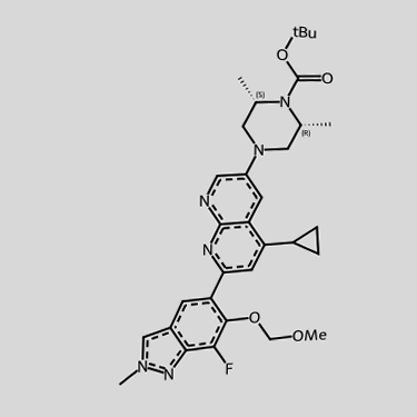 COCOc1c(-c2cc(C3CC3)c3cc(N4C[C@@H](C)N(C(=O)OC(C)(C)C)[C@@H](C)C4)cnc3n2)cc2cn(C)nc2c1F